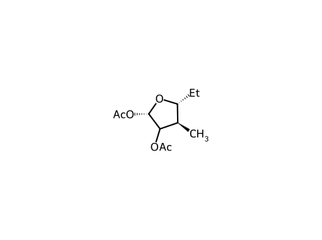 CC[C@H]1O[C@@H](OC(C)=O)C(OC(C)=O)[C@@H]1C